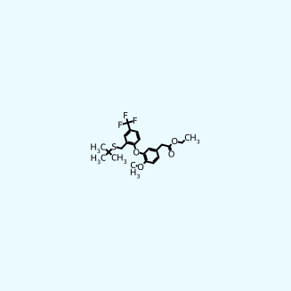 CCOC(=O)Cc1ccc(OC)c(Oc2ccc(C(F)(F)F)cc2CSC(C)(C)C)c1